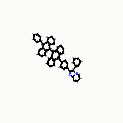 C1=CC2NC(c3ccc(-c4c5ccccc5c(-c5c6ccccc6c(-c6ccccc6)c6ccccc56)c5ccccc45)cc3)=C(c3ccccc3)N2C=C1